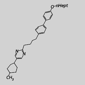 CCCCCCCOc1ccc(-c2ccc(CCCCc3ncc(C4CCC(C)CC4)cn3)cc2)cc1